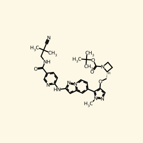 Cn1ncc(OC[C@H]2CCN2C(=O)OC(C)(C)C)c1-c1ccn2nc(Nc3ccc(C(=O)NCC(C)(C)C#N)cn3)cc2c1